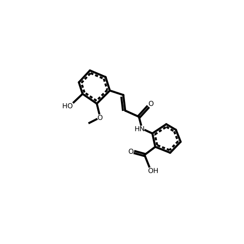 COc1c(O)cccc1C=CC(=O)Nc1ccccc1C(=O)O